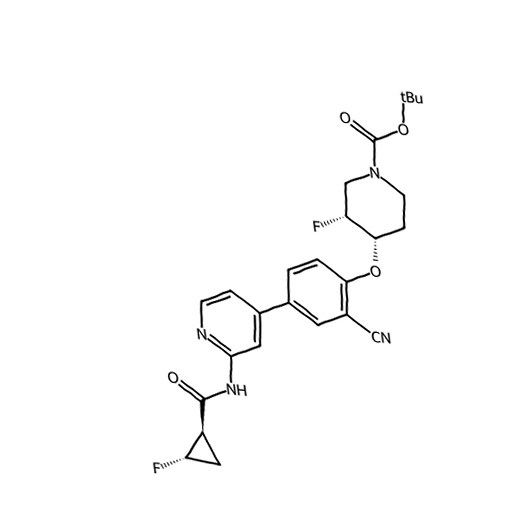 CC(C)(C)OC(=O)N1CC[C@H](Oc2ccc(-c3ccnc(NC(=O)[C@H]4C[C@@H]4F)c3)cc2C#N)[C@H](F)C1